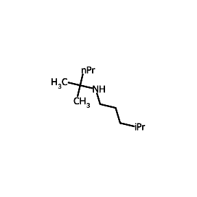 CCCC(C)(C)NCCCC(C)C